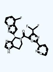 O=C(c1oc(-c2ccccn2)nc1C(F)F)N1CCc2[nH]cnc2[C@@H]1c1cc2c(F)cccn2n1